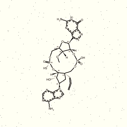 C=C=C[C@@]12COP(=O)(O)O[C@@H]3[C@H](OC)[C@@H](CO[P@@](=O)(S)O[C@H]1[C@@H](O)[C@H](n1cnc4c(N)ncnc41)C2)O[C@H]3c1snc2c(=O)[nH]c(N)nc12